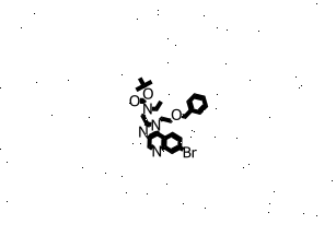 CCN(Cc1nc2cnc3cc(Br)ccc3c2n1CCOCc1ccccc1)C(=O)OC(C)(C)C